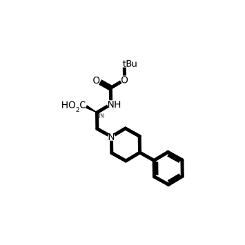 CC(C)(C)OC(=O)N[C@@H](CN1CCC(c2ccccc2)CC1)C(=O)O